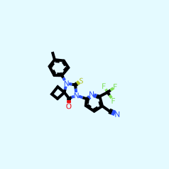 Cc1ccc(N2C(=S)N(c3ccc(C#N)c(C(F)(F)F)n3)C(=O)C23CCC3)cc1